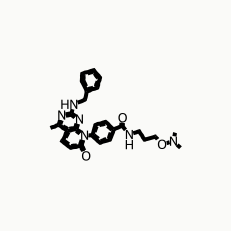 Cc1nc(NCc2ccccc2)nc2c1ccc(=O)n2-c1ccc(C(=O)NCCCON(C)C)cc1